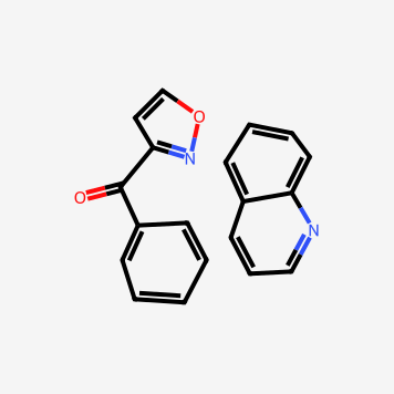 O=C(c1ccccc1)c1ccon1.c1ccc2ncccc2c1